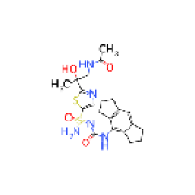 CC(=O)NCC(C)(O)c1ncc(S(N)(=O)=NC(=O)Nc2c3c(cc4c2CCC4)CCC3)s1